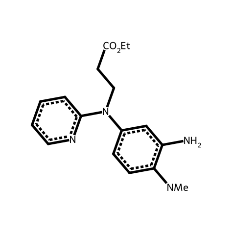 CCOC(=O)CCN(c1ccc(NC)c(N)c1)c1ccccn1